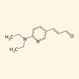 CCN(CC)c1ccc(C=CC=O)cn1